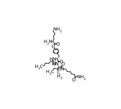 CCCCCC(=O)N[C@@H](Cc1ccc(OC(=O)[C@@H](N)CCCCN)cc1)C(=O)N[C@H](C(=O)NCCCCCC(N)=O)[C@@H](C)CC